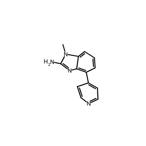 Cn1c(N)nc2c(-c3ccncc3)cccc21